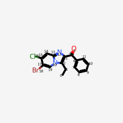 CCc1c(C(=O)c2ccccc2)nc2cc(Cl)c(Br)cn12